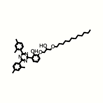 CCCCCCCCCCCCOCC(O)COc1cccc(-c2nc(-c3ccc(C)cc3C)nc(-c3ccc(C)cc3C)n2)c1O